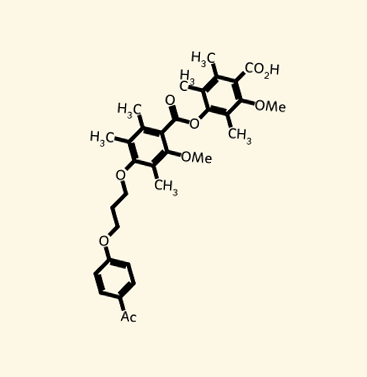 COc1c(C)c(OC(=O)c2c(C)c(C)c(OCCCOc3ccc(C(C)=O)cc3)c(C)c2OC)c(C)c(C)c1C(=O)O